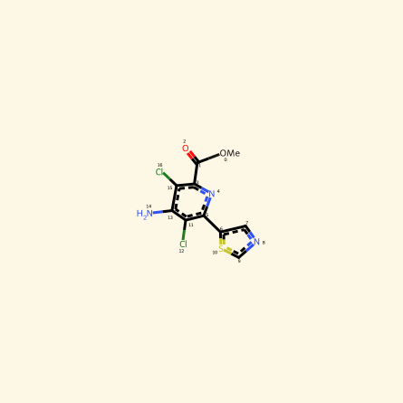 COC(=O)c1nc(-c2cncs2)c(Cl)c(N)c1Cl